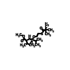 COC(=O)[C@@H](NP(=O)(OCCSC(=O)C(C)(C)C)C(C)C)C(C)C